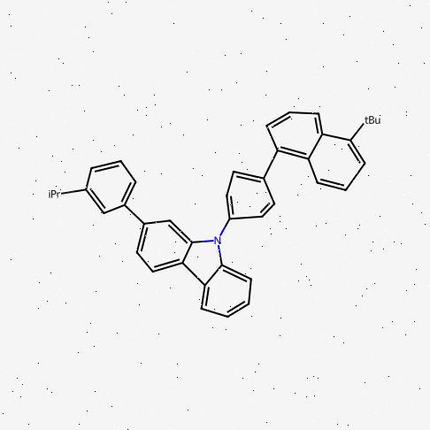 CC(C)c1cccc(-c2ccc3c4ccccc4n(-c4ccc(-c5cccc6c(C(C)(C)C)cccc56)cc4)c3c2)c1